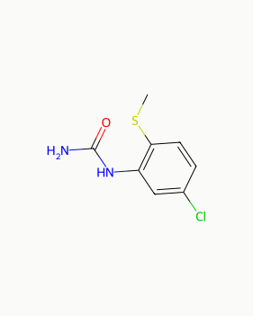 CSc1ccc(Cl)cc1NC(N)=O